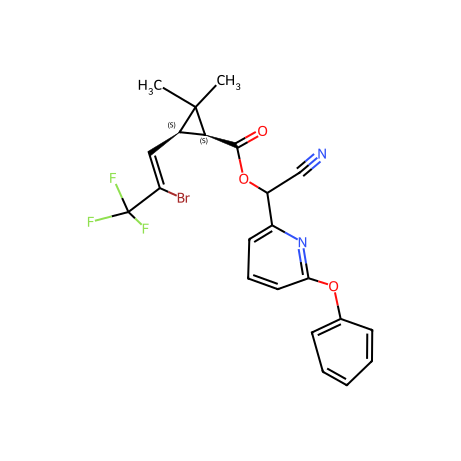 CC1(C)[C@H](C=C(Br)C(F)(F)F)[C@@H]1C(=O)OC(C#N)c1cccc(Oc2ccccc2)n1